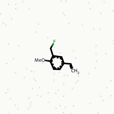 C=Cc1ccc(OC)c(CF)c1